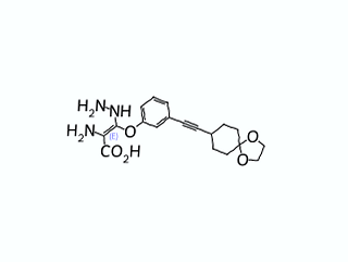 NN/C(Oc1cccc(C#CC2CCC3(CC2)OCCO3)c1)=C(\N)C(=O)O